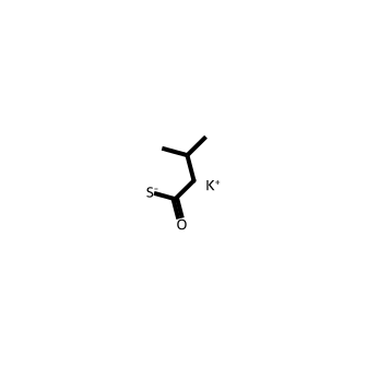 CC(C)CC(=O)[S-].[K+]